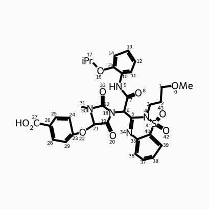 COCCCN1C(C(C(=O)Nc2ccccc2OC(C)C)N2C(=O)C(Oc3ccc(C(=O)O)cc3)N(C)C2=O)=Nc2ccccc2S1(=O)=O